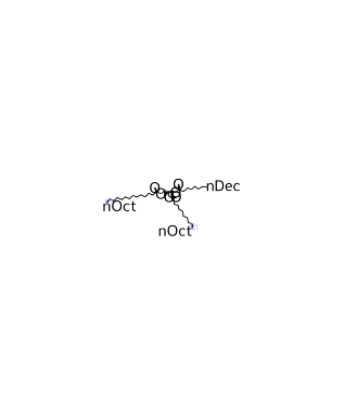 CCCCCCCC/C=C\CCCCCCCCCCCC(=O)OC[C@@H](COC(=O)CCCCCCCCCCCCCCCCC)OC(=O)CCCCCCC/C=C\CCCCCCCC